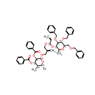 C=C[C@@H](OCC(=C)CO[C@@H]1O[C@H](CC)[C@@H](C)[C@H](OC(=O)c2ccccc2)[C@H]1OC(=O)c1ccccc1)O[C@@H]1[C@@H](OCc2ccccc2)[C@H](OCc2ccccc2)[C@@H](COCc2ccccc2)O[C@H]1C